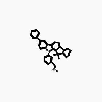 CNCc1cccc(-n2c3ccc(-c4ccccc4)cc3c3ccc4c(c32)C(C)(C)c2ccccc2-4)c1